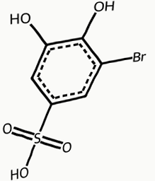 O=S(=O)(O)c1cc(O)c(O)c(Br)c1